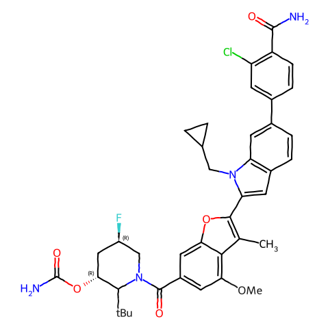 COc1cc(C(=O)N2C[C@H](F)C[C@@H](OC(N)=O)C2C(C)(C)C)cc2oc(-c3cc4ccc(-c5ccc(C(N)=O)c(Cl)c5)cc4n3CC3CC3)c(C)c12